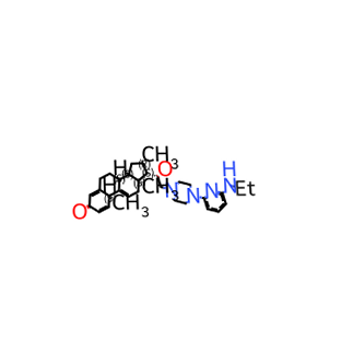 CCNc1cccc(N2CCN(CC(=O)[C@H]3[C@H](C)C[C@H]4[C@@H]5CCC6=CC(=O)C=C[C@]6(C)C5=CC[C@@]43C)CC2)n1